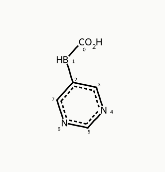 O=C(O)Bc1cncnc1